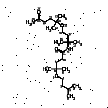 CC(C)CCOC(C)(C)CCC(=O)NC(C)(C)CCOC(C)(C)CCC(N)=O